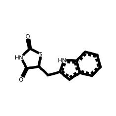 O=C1NC(=O)C(Cc2cc3ccccc3[nH]2)S1